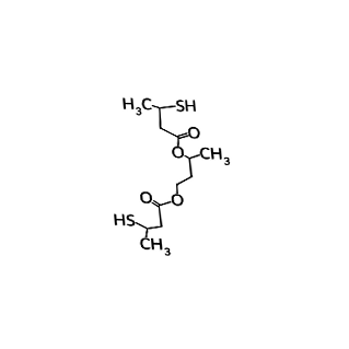 CC(S)CC(=O)OCCC(C)OC(=O)CC(C)S